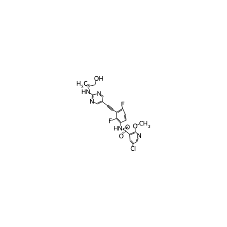 COc1ncc(Cl)cc1S(=O)(=O)Nc1ccc(F)c(C#Cc2cnc(N[C@H](C)CO)nc2)c1F